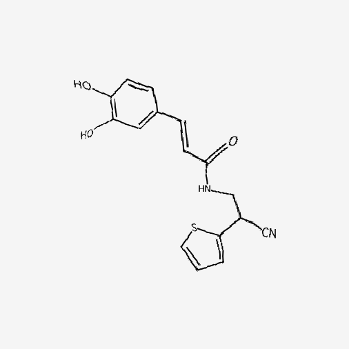 N#CC(CNC(=O)C=Cc1ccc(O)c(O)c1)c1cccs1